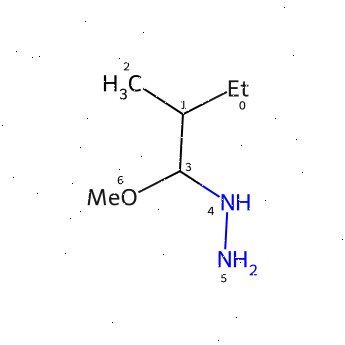 CCC(C)C(NN)OC